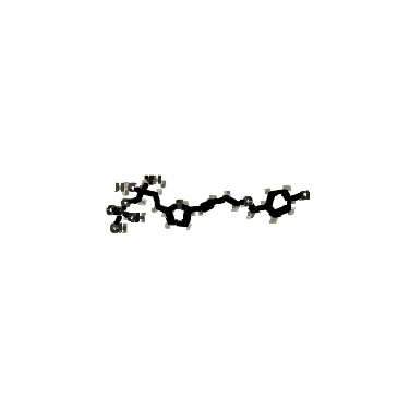 CC(N)(CCc1ccc(C#CCCOCc2ccc(Cl)cc2)s1)COP(=O)(O)O